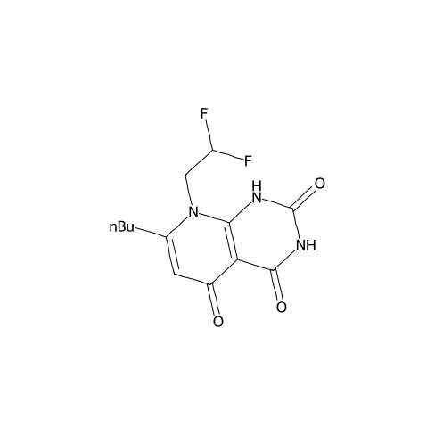 CCCCc1cc(=O)c2c(=O)[nH]c(=O)[nH]c2n1CC(F)F